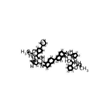 COC(=O)N[C@@H](C(=O)N1[C@@H]2CC[C@@H](C2)[C@H]1c1nc2ccc3cc(-c4ccc5c(ccc6nc([C@@H]7C[C@H]8C[C@H]8N7C(=O)[C@H](NC(=O)OC)c7ccc(C8CCCCC8)cc7)[nH]c65)c4)ccc3c2[nH]1)c1ccccc1